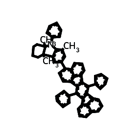 Cc1cc(-c2ccc3c4c(-c5ccccc5)c5c6cccc7cccc(c5c(-c5ccccc5)c4c4cccc2c43)c76)cc2c1N(c1ccccc1)C1(C)CCCCC21C